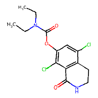 CCN(CC)C(=O)Oc1cc(Cl)c2c(c1Cl)C(=O)NCC2